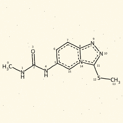 CNC(=O)Nc1ccc2nnc(SC)n2c1